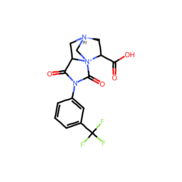 O=C(O)C1C[N@]2CC3C(=O)N(c4cccc(C(F)(F)F)c4)C(=O)[N+]13C2